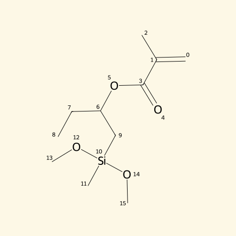 C=C(C)C(=O)OC(CC)C[Si](C)(OC)OC